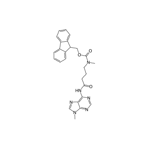 CN(CCCC(=O)Nc1ncnc2c1ncn2C)C(=O)OCC1c2ccccc2-c2ccccc21